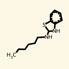 CCCCCCNC1Nc2ccccc2S1